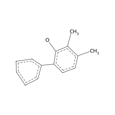 Cc1ccc(-c2ccccc2)c([O])c1C